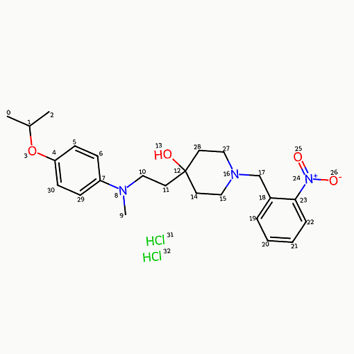 CC(C)Oc1ccc(N(C)CCC2(O)CCN(Cc3ccccc3[N+](=O)[O-])CC2)cc1.Cl.Cl